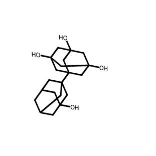 OC12CC3CC(C1)CC(C14CC5(O)CC(O)(CC(O)(C5)C1)C4)(C3)C2